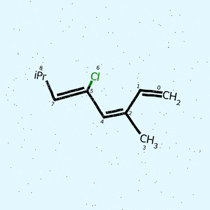 C=C/C(C)=C\C(Cl)=C\C(C)C